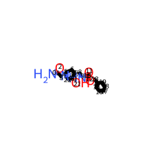 NC(=O)CN1CC[C@@H](CNC(=O)OCc2ccccc2)[C@H](O)C1